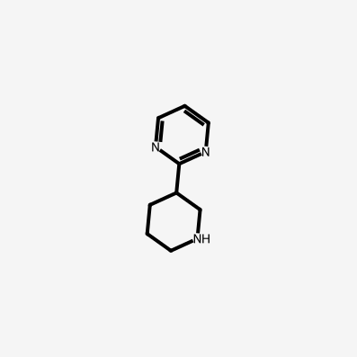 c1cnc(C2CCCNC2)nc1